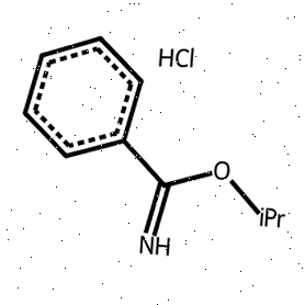 CC(C)OC(=N)c1ccccc1.Cl